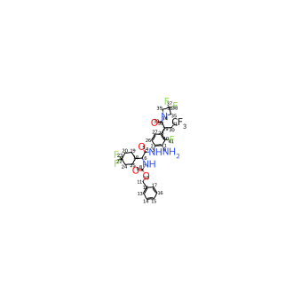 Nc1c(NC(=O)[C@@H](NC(=O)OCc2ccccc2)C2CCC(F)(F)CC2)ccc(C(CC(F)(F)F)C(=O)N2CC(F)(F)C2)c1F